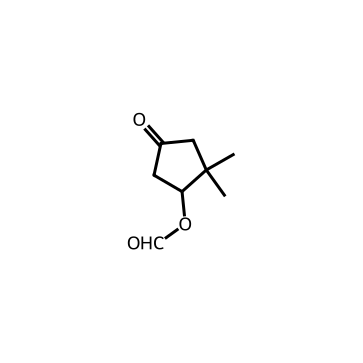 CC1(C)CC(=O)CC1OC=O